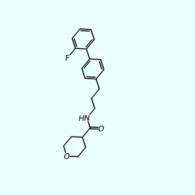 O=C(NCCCc1ccc(-c2ccccc2F)cc1)C1CCOCC1